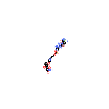 NC(=O)c1c(F)cccc1Nc1nc(NC2CCN(S(=O)(=O)CCOCCCCCN3CCC(Oc4cccc5c4C(=O)C(C4CCC(=O)NC4=O)C5=O)CC3)CC2)ncc1Br